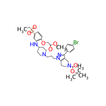 CCS(=O)(=O)c1ccc(OCC(=O)OC)c(NC2CCN(CCCn3nc(-c4ccc(Br)cc4)c4c3CCN(C(=O)OC(C)(C)C)C4)CC2)c1